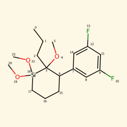 CCCC1(OC)C(c2cc(F)cc(F)c2)CCC[Si]1(OC)OC